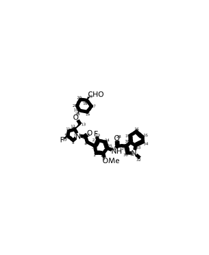 COc1cc(CC(=O)N2C[C@@H](F)C[C@H]2CO[C@H]2CC[C@H](C=O)CC2)c(F)cc1NC(=O)c1cn(C)c2ccccc12